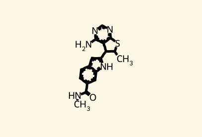 CNC(=O)c1ccc2cc(C3c4c(N)ncnc4SC3C)[nH]c2c1